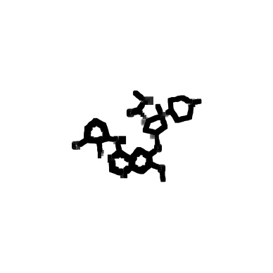 CNC(=O)[C@H]1C[C@H](Oc2cc3c(Nc4cccc(Cl)c4F)ncnc3cc2OC)C[N+]1(C)C1CCN(C)CC1